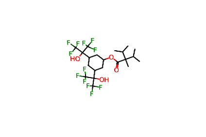 CC(C)C(C)(C(=O)OC1CC(C(O)(C(F)(F)F)C(F)(F)F)CC(C(O)(C(F)(F)F)C(F)(F)F)C1)C(C)C